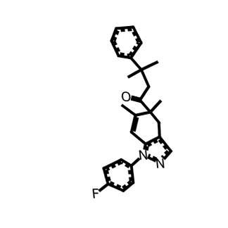 CC1=Cc2c(cnn2-c2ccc(F)cc2)CC1(C)C(=O)CC(C)(C)c1ccccc1